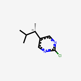 CC(C)[C@H](C)c1cnc(Cl)nc1